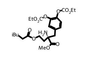 CCOC(=O)Oc1ccc(C[C@](N)(CCOC(=O)CC(C)CC)C(=O)OC)cc1OC(=O)OCC